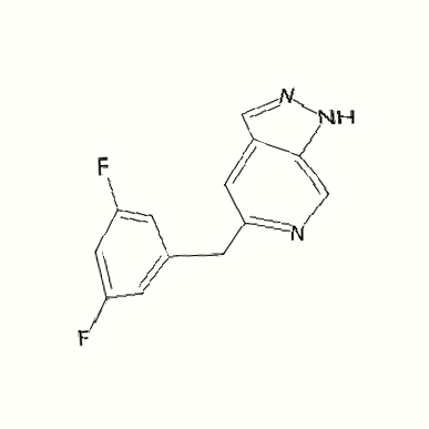 Fc1cc(F)cc(Cc2cc3cn[nH]c3cn2)c1